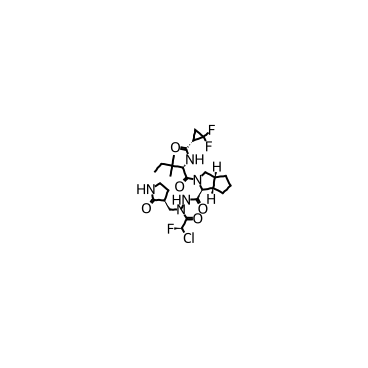 CCC(C)(C)[C@H](NC(=O)[C@@H]1CC1(F)F)C(=O)N1C[C@@H]2CCC[C@@H]2[C@H]1C(=O)NN(C[C@@H]1CCNC1=O)C(=O)[C@H](F)Cl